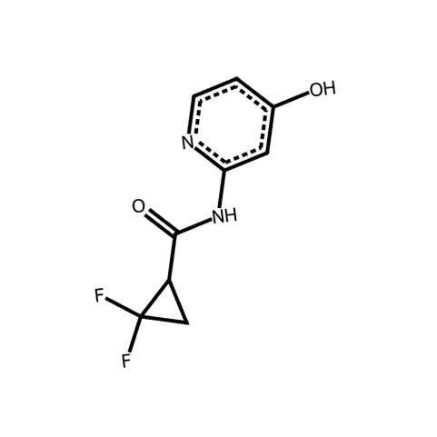 O=C(Nc1cc(O)ccn1)C1CC1(F)F